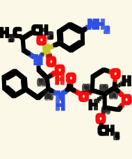 CO[C@H]1CO[C@@H]2OCC[C@H](OC(=O)N[C@@H](Cc3ccccc3)[C@H](O)CN(CC(C)C)S(=O)(=O)c3ccc(N)cc3)[C@@H]21